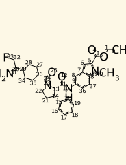 CCOC(=O)c1cc2cc(NC(=O)[C@@H]3[C@H](c4ccccc4)CCN3C(=O)[C@H]3CC[C@H](C(N)CF)CC3)ccc2n1C